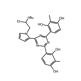 CCCCC(CC)Cn1cccc1-c1nc(-c2ccc(O)c(C)c2O)nc(-c2ccc(O)c(C)c2O)n1